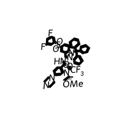 COC[C@H](C)N(C(=O)C(F)(F)F)c1cc(N2CCN(C)CC2)ccc1C(=O)Nc1nn(C(c2ccccc2)(c2ccccc2)c2ccccc2)c2ccc(S(=O)(=O)c3cc(F)cc(F)c3)cc12